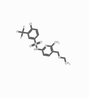 CCOCc1ccc(NS(=O)(=O)c2ccc(Cl)c(C(F)(F)F)c2)nc1C